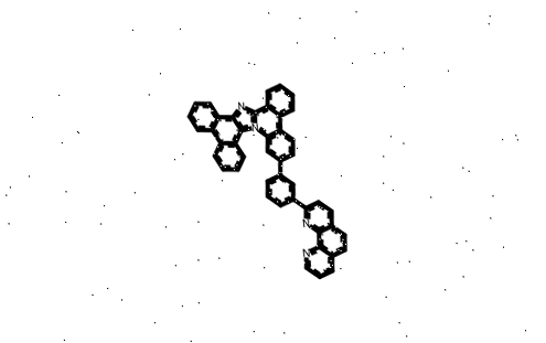 c1cc(-c2ccc3c4ccccc4c4nc5c6ccccc6c6ccccc6c5n4c3c2)cc(-c2ccc3ccc4cccnc4c3n2)c1